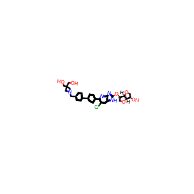 OCC1(CO)CN(Cc2ccc(-c3ccc(-c4nc5nc(O[C@@H]6CO[C@H]7[C@@H]6OC[C@H]7O)[nH]c5cc4Cl)cc3)cc2)C1